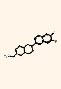 CCC1CCC2CC(c3ccc4cc(F)c(F)cc4c3)CCC2C1